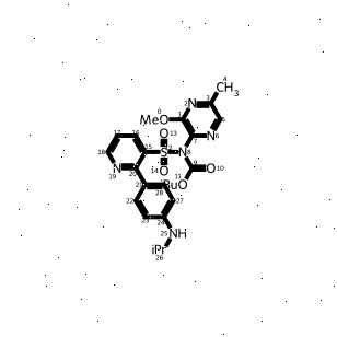 COc1nc(C)cnc1N(C(=O)OCC(C)C)S(=O)(=O)c1cccnc1-c1ccc(NC(C)C)cc1